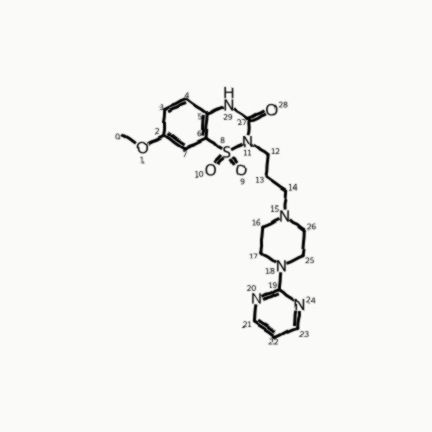 COc1ccc2c(c1)S(=O)(=O)N(CCCN1CCN(c3ncccn3)CC1)C(=O)N2